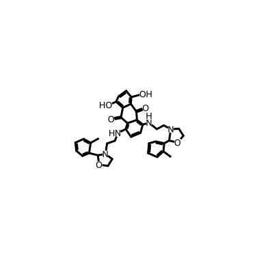 Cc1ccccc1C1OCCN1CCNc1ccc(NCCN2CCOC2c2ccccc2C)c2c1C(=O)c1c(O)ccc(O)c1C2=O